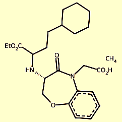 C.CCOC(=O)C(CCC1CCCCC1)N[C@H]1COc2ccccc2N(CC(=O)O)C1=O